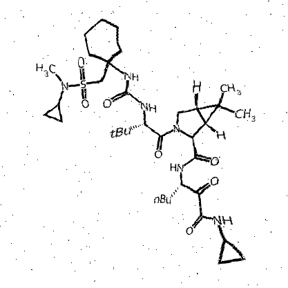 CCCC[C@H](NC(=O)[C@@H]1[C@@H]2[C@H](CN1C(=O)[C@@H](NC(=O)NC1(CS(=O)(=O)N(C)C3CC3)CCCCC1)C(C)(C)C)C2(C)C)C(=O)C(=O)NC1CC1